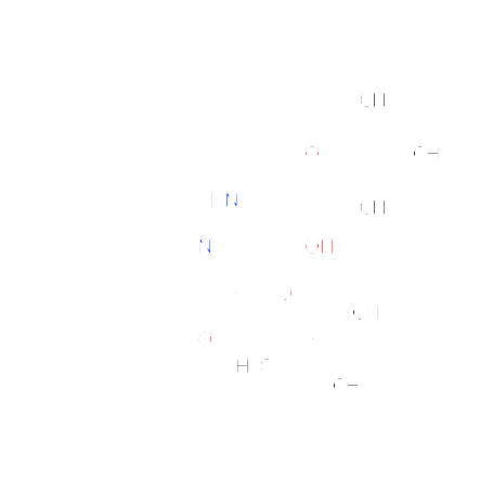 CC(C)(C)OC(=O)N(NC(O)OC(C)(C)C)C1CCCCC1